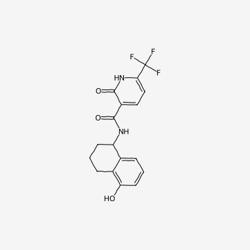 O=C(NC1CCCc2c(O)cccc21)c1ccc(C(F)(F)F)[nH]c1=O